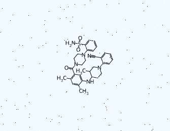 Cc1cc(C)c(C(=O)N2CCN(c3ccccc3S(N)(=O)=O)CC2)cc1NC1CCN(c2ccccc2C#N)CC1C